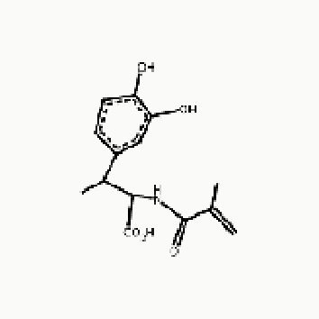 C=C(C)C(=O)NC(C(=O)O)C(C)c1ccc(O)c(O)c1